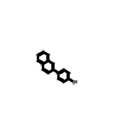 Oc1ccc(-c2[c]c3ccccc3cc2)cc1